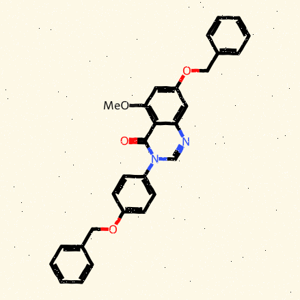 COc1cc(OCc2ccccc2)cc2ncn(-c3ccc(OCc4ccccc4)cc3)c(=O)c12